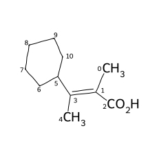 CC(C(=O)O)=C(C)C1CCCCC1